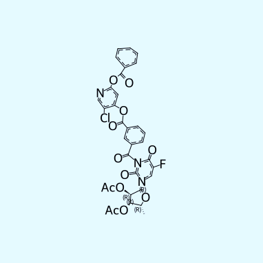 CC(=O)O[C@@H]1[C@H](OC(C)=O)[C@@H](C)O[C@H]1n1cc(F)c(=O)n(C(=O)c2cccc(C(=O)Oc3cc(OC(=O)c4ccccc4)ncc3Cl)c2)c1=O